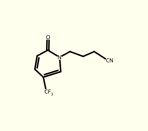 N#CCCCn1cc(C(F)(F)F)ccc1=O